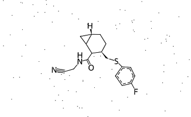 N#CCNC(=O)C1C2C[C@@H]2CC[C@H]1CSc1ccc(F)cc1